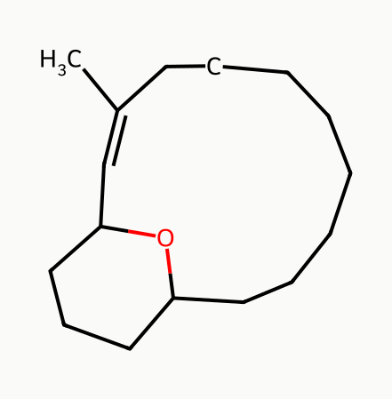 CC1=CC2CCCC(CCCCCCCC1)O2